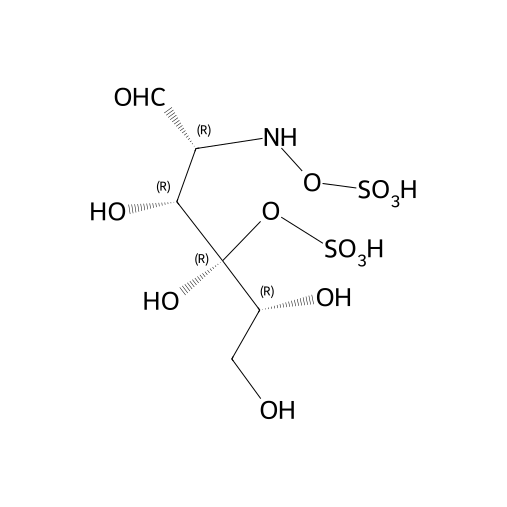 O=C[C@H](NOS(=O)(=O)O)[C@@H](O)[C@@](O)(OS(=O)(=O)O)[C@H](O)CO